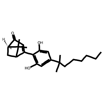 CCCCCCC(C)(C)c1cc(O)c(C2=CC(=O)[C@@H]3CC2C3(C)C)c(O)c1